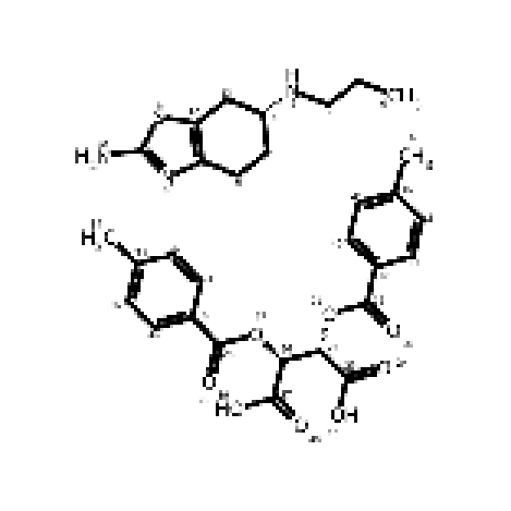 CCCN[C@@H]1CCc2nc(N)sc2C1.Cc1ccc(C(=O)O[C@H](C(=O)O)[C@H](OC(=O)c2ccc(C)cc2)C(=O)O)cc1